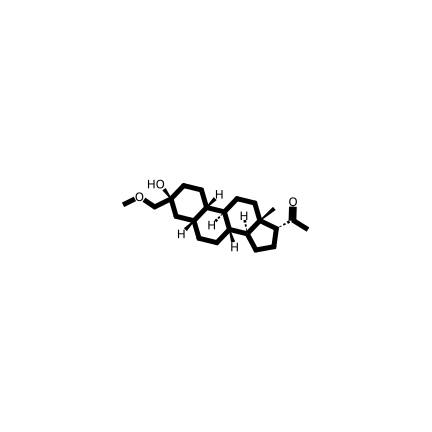 COC[C@]1(O)CC[C@H]2[C@H](CC[C@@H]3[C@@H]2CC[C@]2(C)[C@H](C(C)=O)CC[C@@H]32)C1